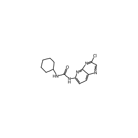 O=C(Nc1ccc2ncc(Cl)nc2n1)NC1CCCCC1